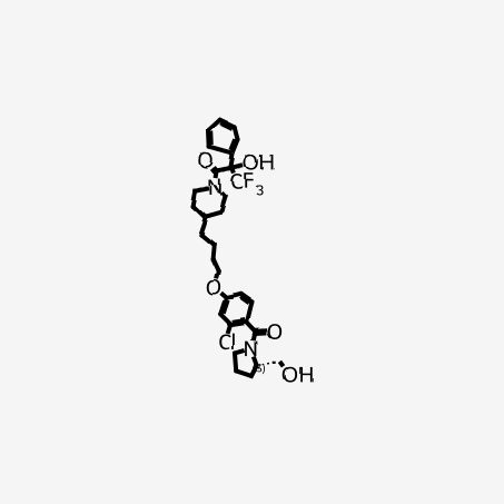 O=C(c1ccc(OCCCCC2CCN(C(=O)C(O)(c3ccccc3)C(F)(F)F)CC2)cc1Cl)N1CCC[C@H]1CO